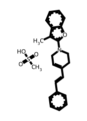 CS(=O)(=O)O.Cc1c(N2CC=C(C=Cc3ccccc3)CC2)oc2ccccc12